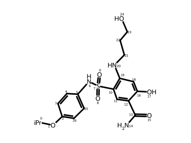 CC(C)Oc1ccc(NS(=O)(=O)c2cc(C(N)=O)c(O)cc2NCCCO)cc1